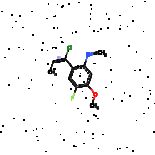 C=Nc1cc(OC)c(F)cc1/C(Cl)=C\C